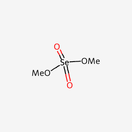 CO[Se](=O)(=O)OC